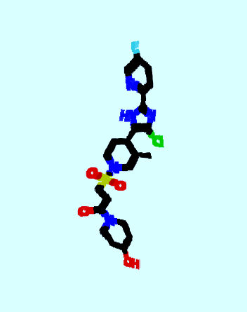 C[C@H]1CN(S(=O)(=O)CCC(=O)N2CCC(O)CC2)CC[C@H]1c1[nH]c(-c2ccc(F)cn2)nc1Cl